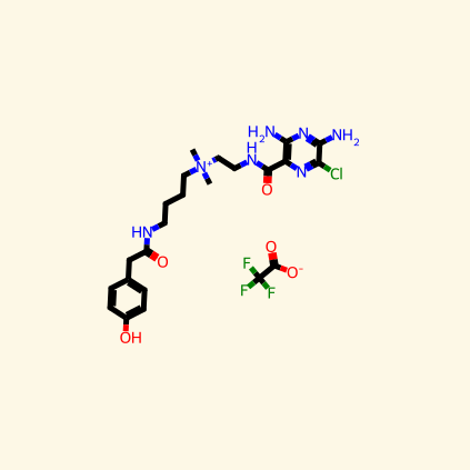 C[N+](C)(CCCCNC(=O)Cc1ccc(O)cc1)CCNC(=O)c1nc(Cl)c(N)nc1N.O=C([O-])C(F)(F)F